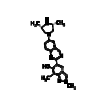 Cc1c(O)c(-c2ncc3cc(N4C[C@@H](C)N[C@@H](C)C4)ccc3n2)cc2cn(C)nc12